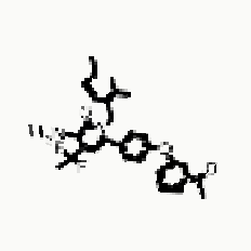 CC/C=C\C(Cn1c(-c2ccc(Oc3cccc(C(C)=O)c3)cc2)cc(C(C)(F)F)c(N)c1=O)=C(C)C